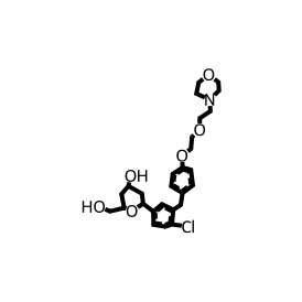 OCC1CC(O)CC(c2ccc(Cl)c(Cc3ccc(OCCOCCN4CCOCC4)cc3)c2)O1